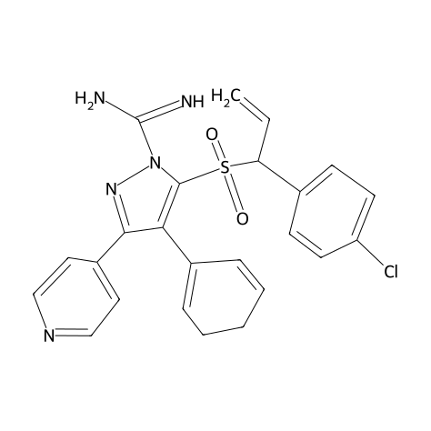 C=CC(c1ccc(Cl)cc1)S(=O)(=O)c1c(C2=CCCC=C2)c(-c2ccncc2)nn1C(=N)N